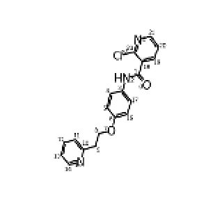 O=C(Nc1ccc(OCCc2ccccn2)cc1)c1cccnc1Cl